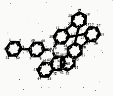 c1ccc(-c2ccc(N(c3ccc4c(c3)C3(c5ccccc5-4)c4ccccc4-c4cc5ccccc5cc43)c3cccc4ccccc34)cc2)cc1